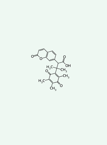 CC1=C(C)C(=O)C(C(C)(C)C(C(=O)O)c2ccc3ccc(=O)oc3c2)=C(C)C1=O